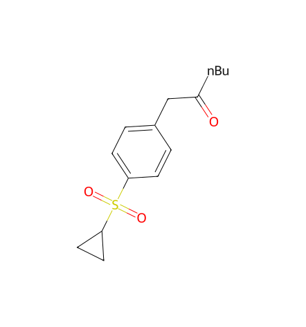 CCCCC(=O)Cc1ccc(S(=O)(=O)C2CC2)cc1